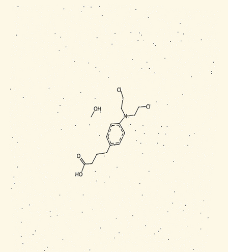 CO.O=C(O)CCCc1ccc(N(CCCl)CCCl)cc1